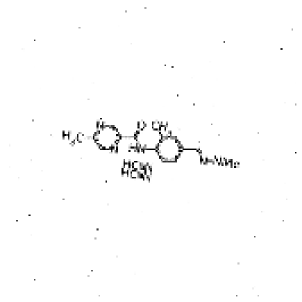 C#N.C#N.CNN=Cc1ccc(NC(=O)c2cnc(C)cn2)c(C)c1